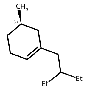 CCC(CC)CC1=CCC[C@@H](C)C1